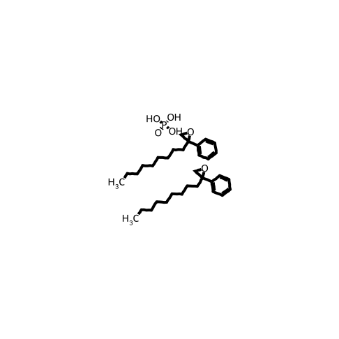 CCCCCCCCCC1(c2ccccc2)CO1.CCCCCCCCCC1(c2ccccc2)CO1.O=P(O)(O)O